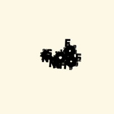 Fc1cccc(C2(c3cccc(F)c3)C=Cc3c(-c4nccs4)n[nH]c3C2)c1